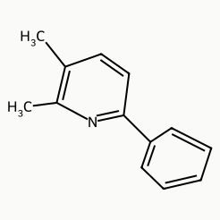 Cc1ccc(-c2ccccc2)nc1C